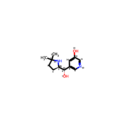 CC1(C)CC[C@H]([C@@H](O)c2cncc(O)c2)N1